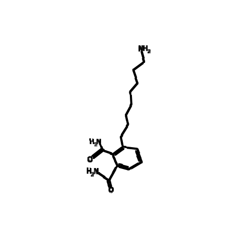 NCCCCCCCCc1cccc(C(N)=O)c1C(N)=O